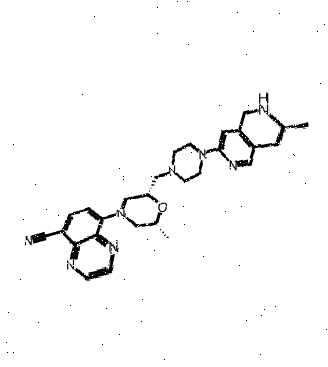 C[C@@H]1CN(c2ccc(C#N)c3nccnc23)C[C@H](CN2CCN(c3cc4c(cn3)C[C@H](C)NC4)CC2)O1